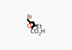 CCc1cc(CBr)oc1C(=O)O